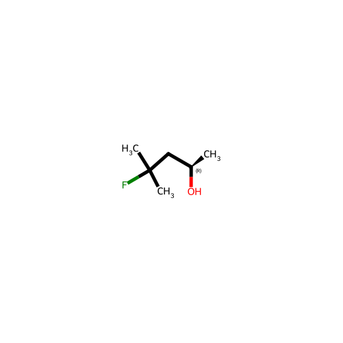 C[C@@H](O)CC(C)(C)F